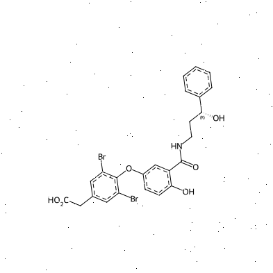 O=C(O)Cc1cc(Br)c(Oc2ccc(O)c(C(=O)NCC[C@@H](O)c3ccccc3)c2)c(Br)c1